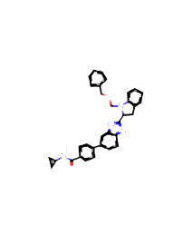 O=C(NC1CC1)c1ccc(-c2ccc3nc(C4Cc5ccccc5N4C(=O)OCc4ccccc4)[nH]c3c2)cc1